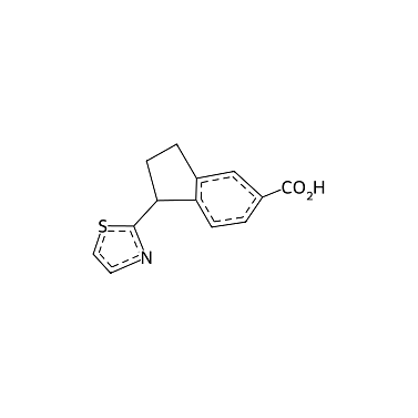 O=C(O)c1ccc2c(c1)CCC2c1nccs1